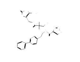 CC(CO)(C[C@@H](Cc1ccc(-c2ccccc2)cc1)NC(=O)c1c[nH]nn1)C(=O)OCc1oc(=O)oc1C(C)(C)C